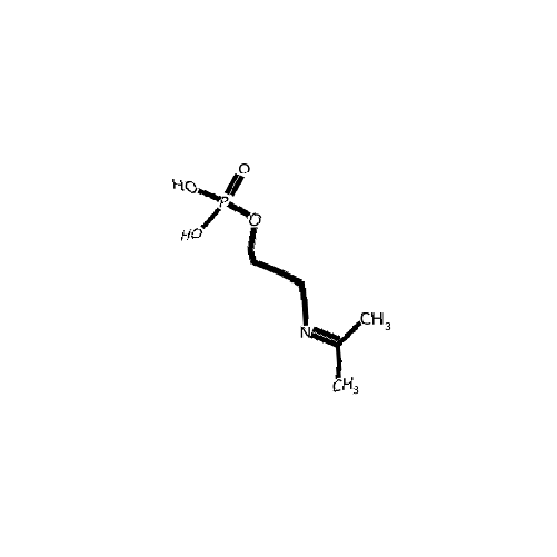 CC(C)=NCCOP(=O)(O)O